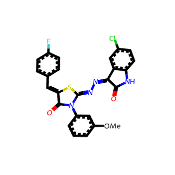 COc1cccc(N2C(=O)C(=Cc3ccc(F)cc3)SC2=NN=C2C(=O)Nc3ccc(Cl)cc32)c1